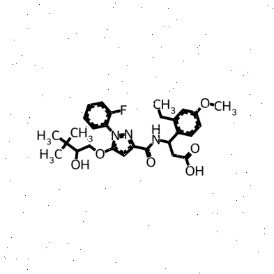 CCc1cc(OC)ccc1C(CC(=O)O)NC(=O)c1cc(OCC(O)C(C)(C)C)n(-c2ccccc2F)n1